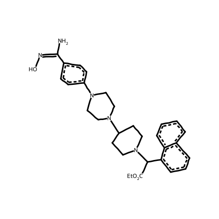 CCOC(=O)C(c1cccc2ccccc12)N1CCC(N2CCN(c3ccc(/C(N)=N\O)cc3)CC2)CC1